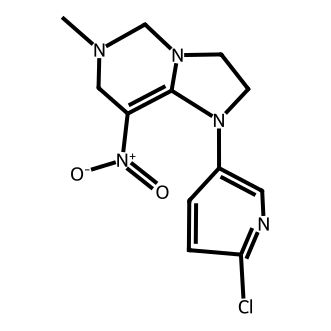 CN1CC([N+](=O)[O-])=C2N(CCN2c2ccc(Cl)nc2)C1